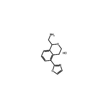 Cl.NCC1OCCc2c(-c3ncco3)cccc21